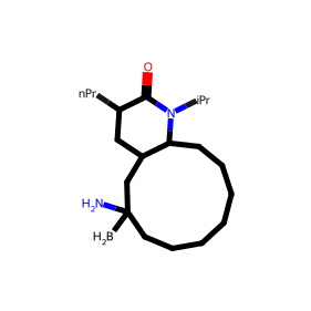 BC1(N)CCCCCCCC2C(CC(CCC)C(=O)N2C(C)C)C1